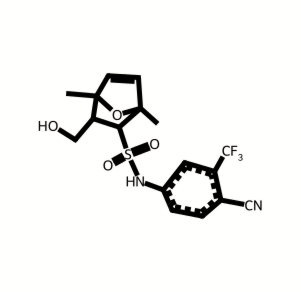 CC12C=CC(C)(O1)C(S(=O)(=O)Nc1ccc(C#N)c(C(F)(F)F)c1)C2CO